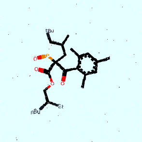 CCCCC(CC)COC(=O)C(CC(C)CC(C)(C)C)(P=O)C(=O)c1c(C)cc(C)cc1C